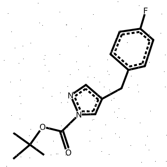 CC(C)(C)OC(=O)n1cc(Cc2ccc(F)cc2)cn1